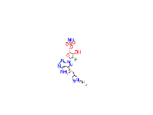 Cn1cc(CSc2nn([C@@H]3O[C@H](COS(N)(=O)=O)[C@@H](O)[C@@H]3F)c3ncnc(N)c23)cn1